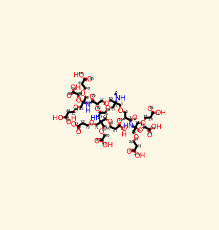 CNC(COCCC(=O)NC(COCCC(=O)O)(COCCC(=O)O)OCC(=O)O)(COCCC(=O)NC(COCCC(=O)O)(COCCC(=O)O)OCC(=O)O)COCC(=O)NC(COCCC(=O)O)(COCCC(=O)O)COCC(=O)O